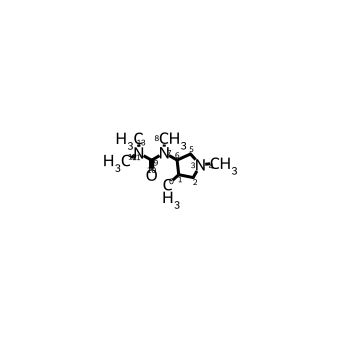 CC1CN(C)CC1N(C)C(=O)N(C)C